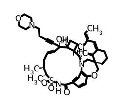 C=C1/C(=C\C(Cl)=C/C)CCC[C@]12COc1ccc3cc1N(C[C@@H]1CC[C@H]1[C@@](O)(C#CCCN1CCOCC1)/C=C/C[C@H](C)[C@@H](C)S(=O)(=O)NC3=O)C2